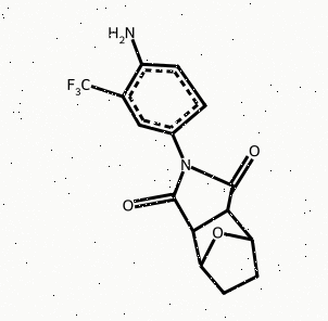 Nc1ccc(N2C(=O)C3C4CCC(O4)C3C2=O)cc1C(F)(F)F